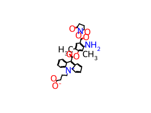 Cc1cc(C(=O)ON2C(=O)CCC2=O)c(N)c(C)c1OC(=O)c1c2ccccc2[n+](CCCC(=O)[O-])c2ccccc12